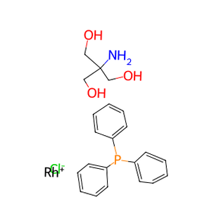 NC(CO)(CO)CO.[Cl-].[Rh+].c1ccc(P(c2ccccc2)c2ccccc2)cc1